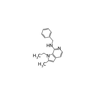 CCn1c(C)cc2ccnc(NCc3ccccc3)c21